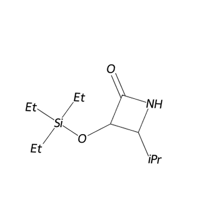 CC[Si](CC)(CC)OC1C(=O)NC1C(C)C